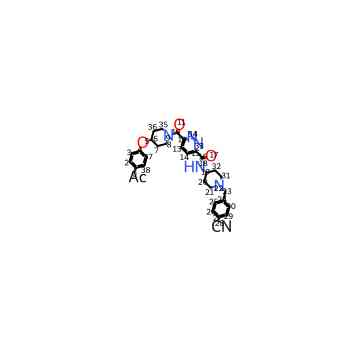 CC(=O)c1ccc(OC2CCN(C(=O)c3ccc(C(=O)NC4CCN(Cc5ccc(C#N)cc5)CC4)nn3)CC2)cc1